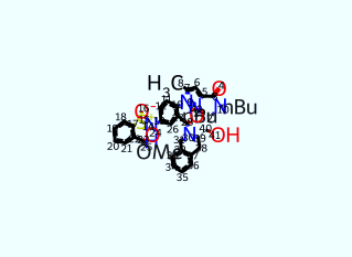 CCCCN(CCCC)C(=O)c1cc(C)n(-c2ccc(N[S+]([O-])c3ccccc3C(=O)OC)cc2C(=O)N2Cc3ccccc3C[C@H]2CO)n1